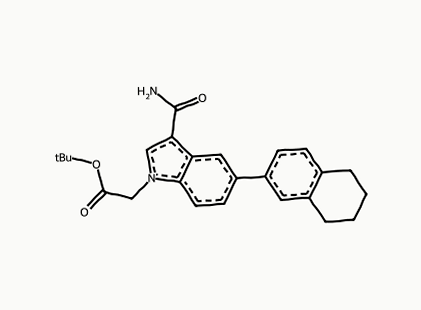 CC(C)(C)OC(=O)Cn1cc(C(N)=O)c2cc(-c3ccc4c(c3)CCCC4)ccc21